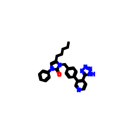 CCCCCc1cn(-c2ccccc2)c(=O)n1Cc1ccc(-c2cnccc2-c2nnn[nH]2)cc1